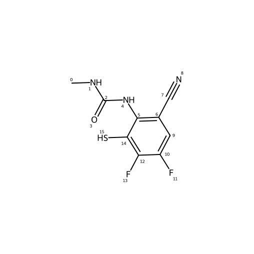 CNC(=O)Nc1c(C#N)cc(F)c(F)c1S